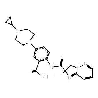 CC1(C(=O)Nc2ccc(N3CCN(C4CC4)CC3)cc2C(N)=O)CN2N=CC=CC2=N1